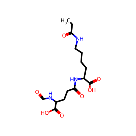 CCC(=O)NCCCCC(NC(=O)CCC(NC=O)C(=O)O)C(=O)O